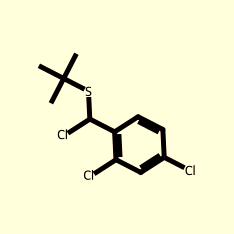 CC(C)(C)SC(Cl)c1ccc(Cl)cc1Cl